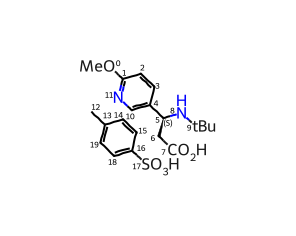 COc1ccc([C@H](CC(=O)O)NC(C)(C)C)cn1.Cc1ccc(S(=O)(=O)O)cc1